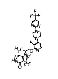 CC(COc1nccc(N2CCN(c3ncc(C(F)(F)F)cn3)CC2)c1F)Nc1cn[nH]c(=O)c1C(F)(F)F